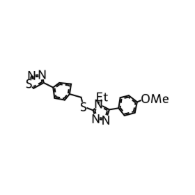 CCn1c(SCc2ccc(-c3csnn3)cc2)nnc1-c1ccc(OC)cc1